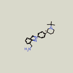 CC(C)(C)N1CCC[C@@H](c2ccc(-n3cc4cccc(CN)c4n3)cc2)C1